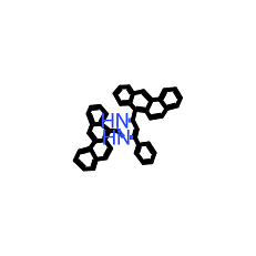 C1=C(c2ccccc2)NC(c2c3ccccc3cc3c2ccc2ccccc23)NC1c1c2ccccc2cc2c1ccc1ccccc12